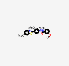 COc1ccc2nc(-c3ccc(NC(=O)c4cc(OC(F)(F)F)ccc4OC)cc3OC)sc2c1